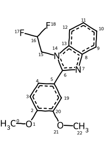 COc1ccc(-c2nc3ccccc3n2CC(F)F)cc1OC